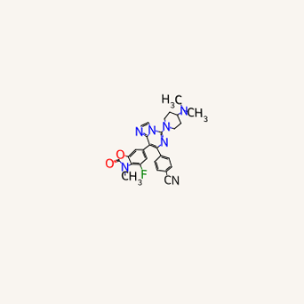 CN(C)C1CCN(c2nc(-c3ccc(C#N)cc3)c(-c3cc(F)c4c(c3)oc(=O)n4C)c3nccn23)CC1